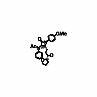 COc1ccc(N2C(=O)[C@H](N(C(C)=O)c3ccccc3)[C@H]2CCC(=O)[C@@H]2CCCO2)cc1